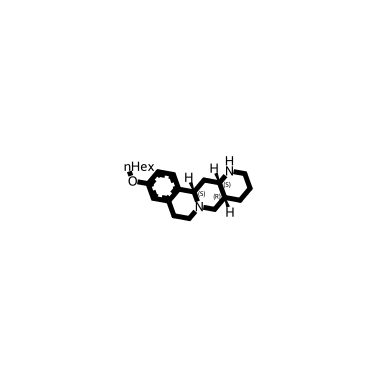 CCCCCCOc1ccc2c(c1)CCN1C[C@H]3CCCN[C@H]3C[C@@H]21